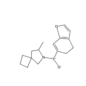 CC1CC2(CCC2)CN1[S+]([O-])C1=Cc2occc2CC1